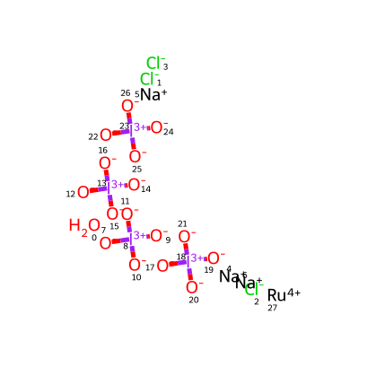 O.[Cl-].[Cl-].[Cl-].[Na+].[Na+].[Na+].[O-][I+3]([O-])([O-])[O-].[O-][I+3]([O-])([O-])[O-].[O-][I+3]([O-])([O-])[O-].[O-][I+3]([O-])([O-])[O-].[Ru+4]